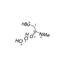 CCCCCC(=O)NC.Cl.Cl